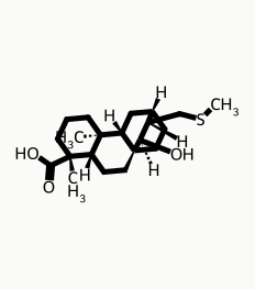 CSC[C@H]1[C@H]2CC[C@@]3(CC[C@H]4[C@@](C)(CCC[C@@]4(C)C(=O)O)[C@@H]3C2)[C@@H]1O